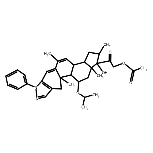 CC(=O)OCC(=O)C1(O)C(C)CC2C3C=C(C)C4=Cc5c(cnn5-c5ccccc5)CC4(C)C3C(OC(C)C)CC21C